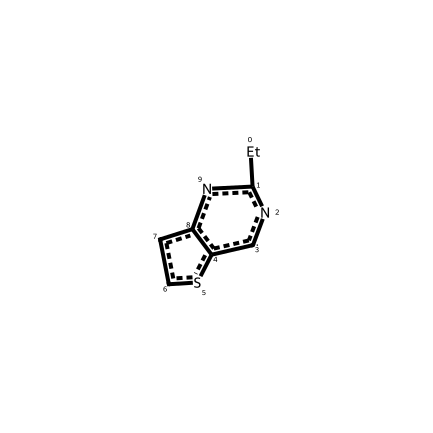 CCc1n[c]c2sccc2n1